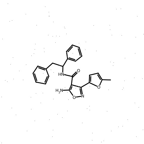 Cc1ccc(-c2noc(N)c2C(=O)NC(Cc2ccccc2)c2ccccc2)o1